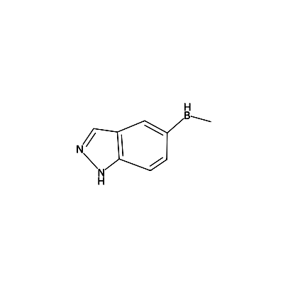 CBc1ccc2[nH]ncc2c1